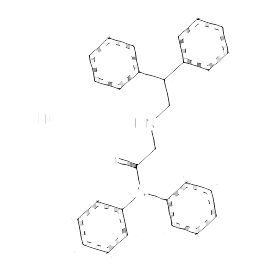 Cl.O=C(CNCC(c1ccccc1)c1ccccc1)N(c1ccccc1)c1ccccc1